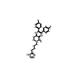 Cc1ccc(-c2nc3c(nc2-c2ccc(C)cc2)C(C)N(CCCCc2nnn[nH]2)CC3)cc1